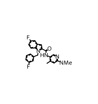 CNc1cc(C)c(NC(=O)c2cc3cc(F)ccc3n2Cc2cccc(F)c2)cn1